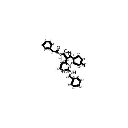 O=C(Cc1ccccc1)Nc1onc(-c2ccc(F)cc2)c1-c1ccnc(NCc2ccccc2)n1